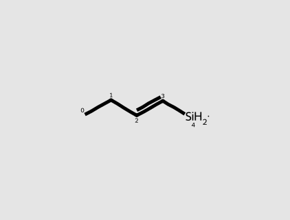 CCC=C[SiH2]